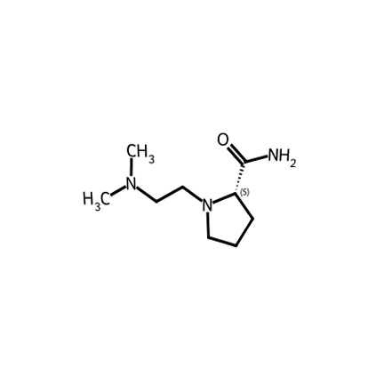 CN(C)CCN1CCC[C@H]1C(N)=O